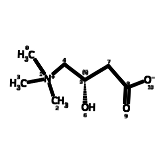 C[N+](C)(C)C[C@@H](O)CC(=O)[O-]